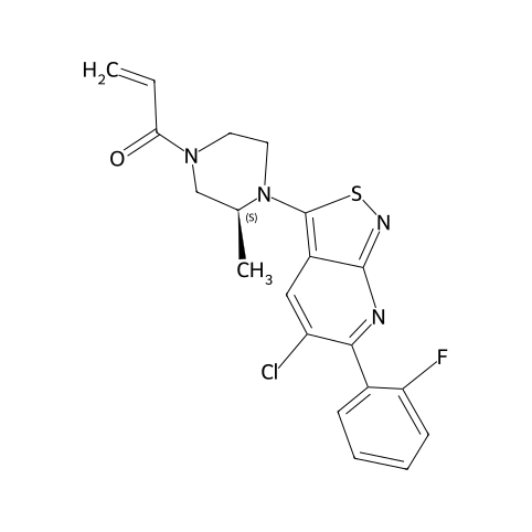 C=CC(=O)N1CCN(c2snc3nc(-c4ccccc4F)c(Cl)cc23)[C@@H](C)C1